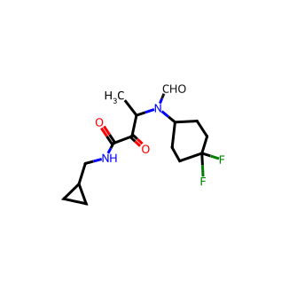 CC(C(=O)C(=O)NCC1CC1)N(C=O)C1CCC(F)(F)CC1